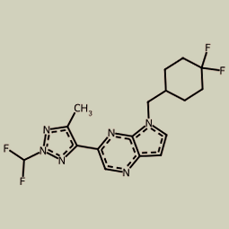 Cc1nn(C(F)F)nc1-c1cnc2ccn(CC3CCC(F)(F)CC3)c2n1